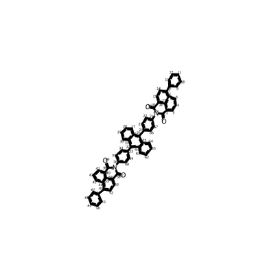 O=C1c2cccc3c(-c4ccccc4)ccc(c23)C(=O)N1c1ccc(-c2c3ccccc3c(-c3ccc(N4C(=O)c5cccc6c(-c7ccccc7)ccc(c56)C4=O)cc3)c3ccccc23)cc1